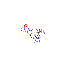 CNc1cc(Nc2cc(C)nc(N3CCCC3=O)c2)nc2c(C(N)=O)cnn12